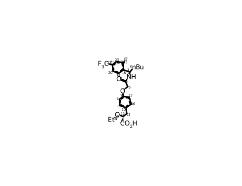 CCCCC(NC(=O)COc1ccc(C[C@H](OCC)C(=O)O)cc1)c1ccc(C(F)(F)F)cc1F